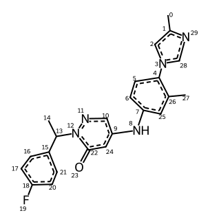 Cc1cn(-c2ccc(Nc3cnn(C(C)c4ccc(F)cc4)c(=O)c3)cc2C)cn1